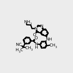 Cc1ccc(NC(=O)c2cccc(C(C)(C)C#N)c2)cc1Nc1ccc2ncn(CCCN)c(=O)c2c1